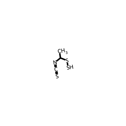 CC(N=C=S)SS